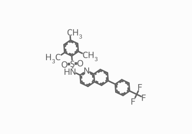 Cc1cc(C)c(S(=O)(=O)Nc2ccc3cc(-c4ccc(C(F)(F)F)cc4)ccc3n2)c(C)c1